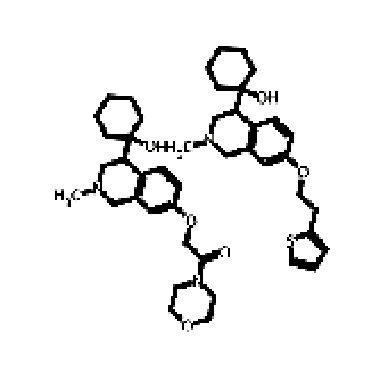 CN1Cc2cc(OCC(=O)N3CCOCC3)ccc2C(C2(O)CCCCC2)C1.CN1Cc2cc(OCCc3cccs3)ccc2C(C2(O)CCCCC2)C1